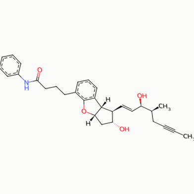 CC#CC[C@H](C)[C@H](O)/C=C/[C@@H]1[C@H]2c3cccc(CCCC(=O)Nc4ccccc4)c3O[C@H]2C[C@H]1O